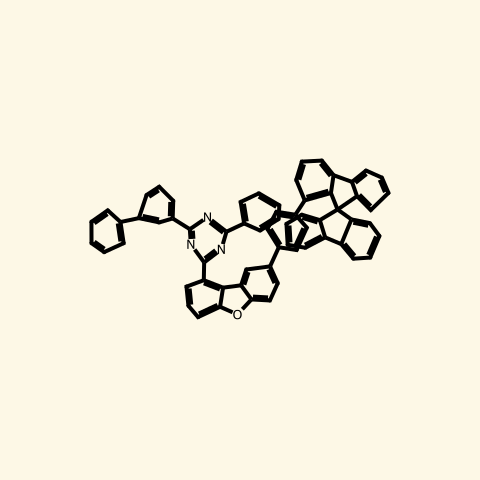 c1ccc(-c2cccc(-c3nc(-c4ccccc4)nc(-c4cccc5oc6ccc(-c7ccc(-c8cccc9c8C8(c%10ccccc%10-c%10ccccc%108)c8ccccc8-9)cc7)cc6c45)n3)c2)cc1